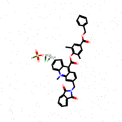 Cc1cc(C(=O)OCc2ccccc2)cc(C)c1OC(=O)c1c2ccccc2[n+](C)c2cc(CN3C(=O)c4ccccc4C3=O)ccc12.O=S(=O)(O)F.O=S(=O)(O)F.O=S(=O)([O-])F